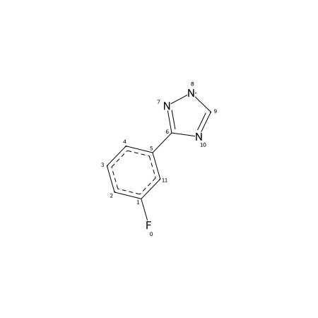 Fc1cccc(C2=N[N]C=N2)c1